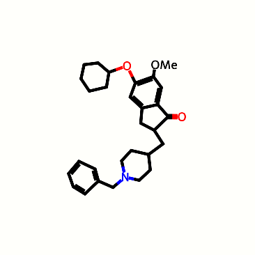 COc1cc2c(cc1OC1CCCCC1)CC(CC1CCN(Cc3ccccc3)CC1)C2=O